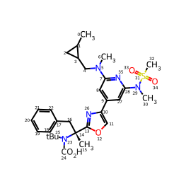 CC1CC1CN(C)c1cc(-c2coc([C@@](C)(Cc3ccccc3)N(C(=O)O)C(C)(C)C)n2)cc(N(C)S(C)(=O)=O)n1